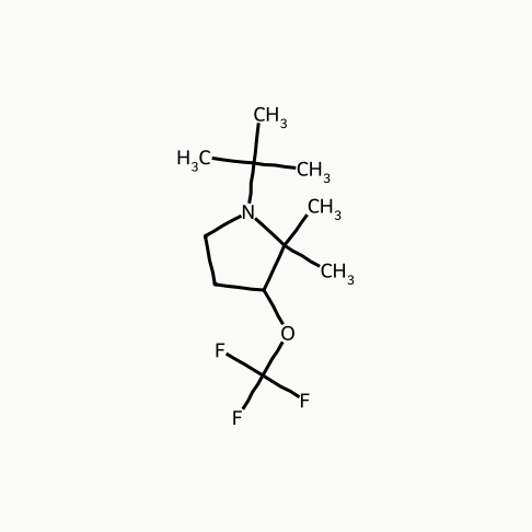 CC(C)(C)N1CCC(OC(F)(F)F)C1(C)C